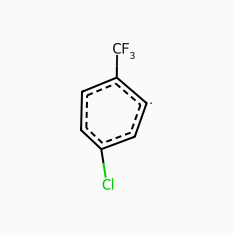 FC(F)(F)c1[c]cc(Cl)cc1